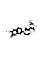 CC(=O)O[C@@H](C(=O)O)[C@H]1OCCN(c2ccc3c(c2)NC(=O)C(C)C3)C1=O